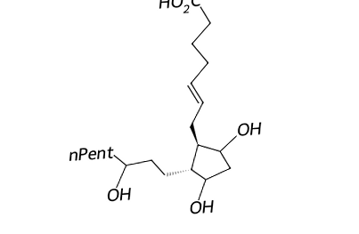 CCCCCC(O)CC[C@H]1C(O)CC(O)[C@@H]1CC=CCCCC(=O)O